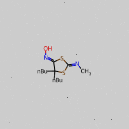 CCCCC1(CCCC)S/C(=N\C)S/C1=N\O